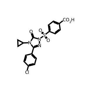 O=C(O)c1ccc(S(=O)(=O)n2nc(-c3ccc(Cl)cc3)n(C3CC3)c2=O)cc1